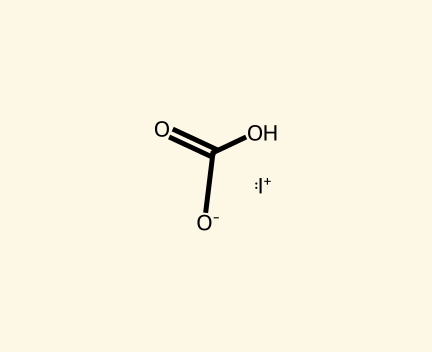 O=C([O-])O.[I+]